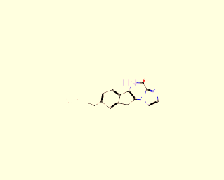 CC(=O)NCc1ccc2c(c1)Cc1c-2[nH]c(=O)c2nccn12